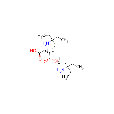 CCC(N)(CC)CC.CCC(N)(CC)CC.O=C(O)/C=C\C(=O)O